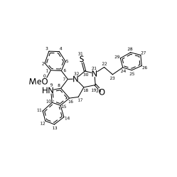 COc1ccccc1C1c2[nH]c3ccccc3c2CC2C(=O)N(CCc3ccccc3)C(=S)N21